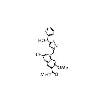 COC(=O)c1cc2cc(Cl)cc(Cn3cc(C(O)c4ccccn4)nn3)c2nc1OC